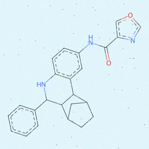 O=C(Nc1ccc2c(c1)C1C3CCC(C3)C1C(c1ccccc1)N2)c1cocn1